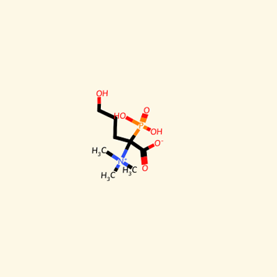 C[N+](C)(C)C(CCCO)(C(=O)[O-])P(=O)(O)O